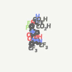 CCNC(CCC(=O)O)(Oc1ccc(CN2C(=O)C(C(=O)Nc3ccc(C(F)(F)F)cc3-c3cc(C(F)(F)F)ncn3)=C(O)C3(CCCC3)N2C)c(F)c1F)C(=O)O